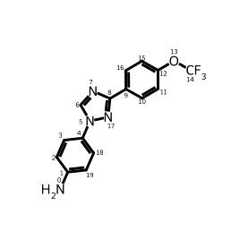 Nc1ccc(-n2cnc(-c3ccc(OC(F)(F)F)cc3)n2)cc1